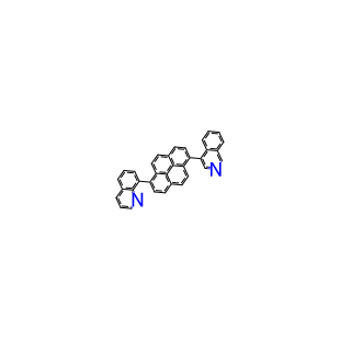 c1ccc2c(-c3ccc4ccc5c(-c6cccc7cccnc67)ccc6ccc3c4c65)cncc2c1